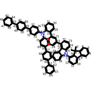 CC1(C)c2ccccc2-c2cccc(-n3c4ccccc4c4c(-c5cccc(-c6ccccc6N(c6ccc(-c7ccc(-c8ccccc8)cc7)cc6)c6ccc(-c7ccc(-c8ccccc8)cc7)cc6)c5)cccc43)c21